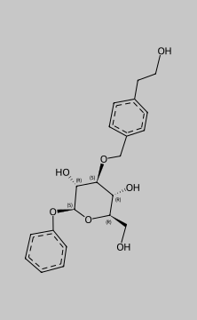 OCCc1ccc(CO[C@@H]2[C@@H](O)[C@H](Oc3ccccc3)O[C@H](CO)[C@H]2O)cc1